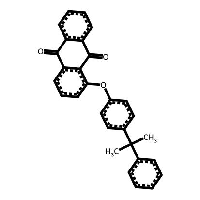 CC(C)(c1ccccc1)c1ccc(Oc2cccc3c2C(=O)c2ccccc2C3=O)cc1